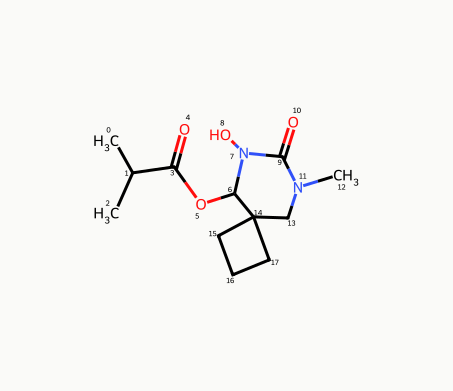 CC(C)C(=O)OC1N(O)C(=O)N(C)CC12CCC2